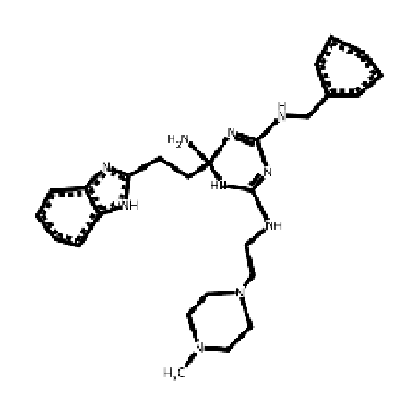 CN1CCN(CCNC2=NC(NCc3ccccc3)=NC(N)(CCc3nc4ccccc4[nH]3)N2)CC1